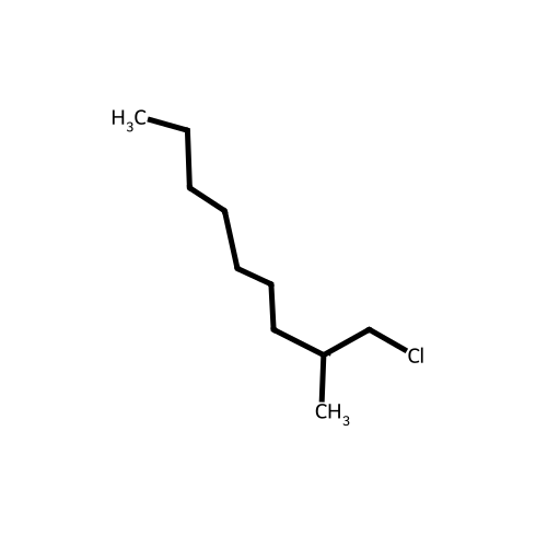 CCCCCCC[C](C)CCl